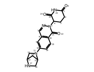 O=C1CCC(n2ncc3cc(N4CC5CC4CN5)ccc3c2=O)C(=O)N1